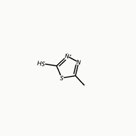 CC1=N[N+]=C(S)S1